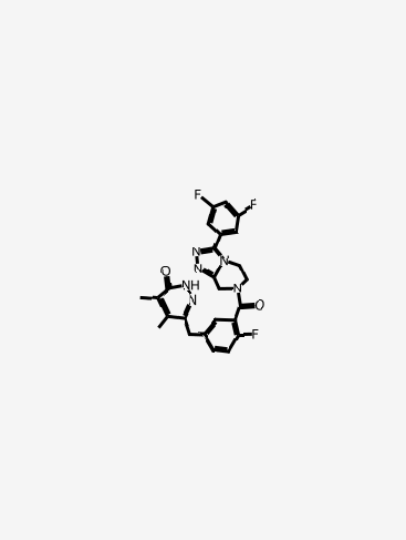 Cc1c(Cc2ccc(F)c(C(=O)N3CCn4c(nnc4-c4cc(F)cc(F)c4)C3)c2)n[nH]c(=O)c1C